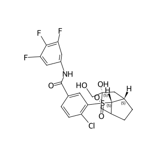 O=C(Nc1cc(F)c(F)c(F)c1)c1ccc(Cl)c(S(=O)(=O)[C@H]2C3CC[C@H]2C[C@](O)(CO)C3)c1